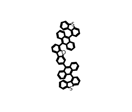 C1=CC2C(c3cccc4c3oc3cc(-c5c6ccccc6c(-c6cccc7sc8ccccc8c67)c6ccccc56)ccc34)=c3ccccc3=C(c3cccc4sc5ccccc5c34)C2C=C1